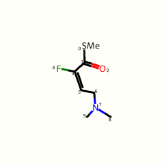 CSC(=O)/C(F)=C\CN(C)C